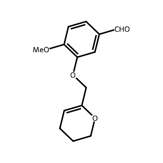 COc1ccc(C=O)cc1OCC1=CCCCO1